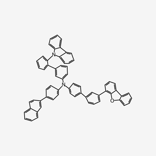 c1cc(-c2ccc(N(c3ccc(-c4ccc5ccccc5c4)cc3)c3cccc(-c4ccccc4-n4c5ccccc5c5ccccc54)c3)cc2)cc(-c2cccc3c2oc2ccccc23)c1